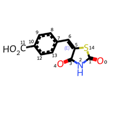 O=C1NC(=O)/C(=C\c2ccc(C(=O)O)cc2)S1